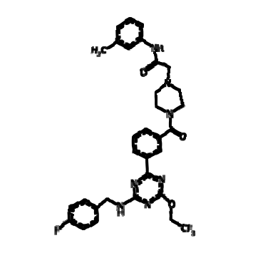 Cc1cccc(NC(=O)CN2CCN(C(=O)c3cccc(-c4nc(NCc5ccc(F)cc5)nc(OCC(F)(F)F)n4)c3)CC2)c1